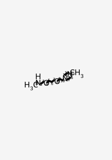 CNCCOCCCOCCN1CCN(C)CC1